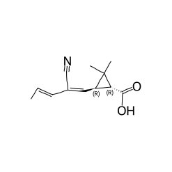 CC=CC(C#N)=C[C@@H]1[C@@H](C(=O)O)C1(C)C